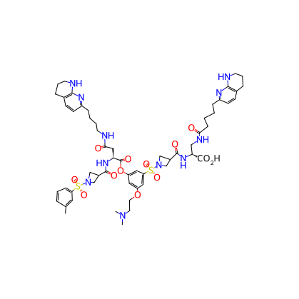 Cc1cccc(S(=O)(=O)N2CC(C(=O)N[C@@H](CC(=O)NCCCCc3ccc4c(n3)NCCC4)C(=O)Oc3cc(OCCN(C)C)cc(S(=O)(=O)N4CC(C(=O)N[C@@H](CNC(=O)CCCCc5ccc6c(n5)NCCC6)C(=O)O)C4)c3)C2)c1